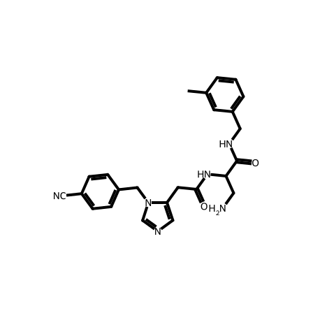 Cc1cccc(CNC(=O)C(CN)NC(=O)Cc2cncn2Cc2ccc(C#N)cc2)c1